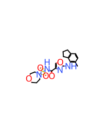 Cc1ccc2c(c1Nc1nc(C(=O)NS(=O)(=O)N3CCCOCC3)co1)CCC2